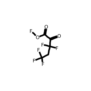 O=C(OF)C(=O)C(F)(F)CC(F)(F)F